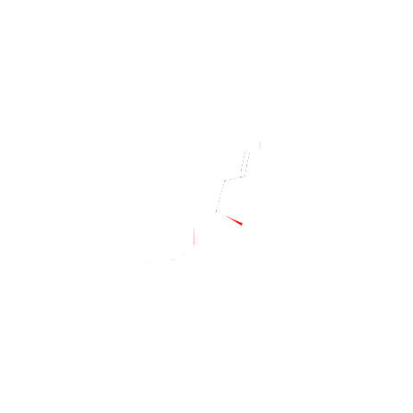 C=CC[C@@H](O)COC